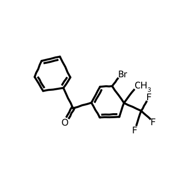 CC1(C(F)(F)F)C=CC(C(=O)c2ccccc2)=CC1Br